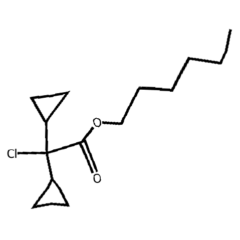 CCCCCCOC(=O)C(Cl)(C1CC1)C1CC1